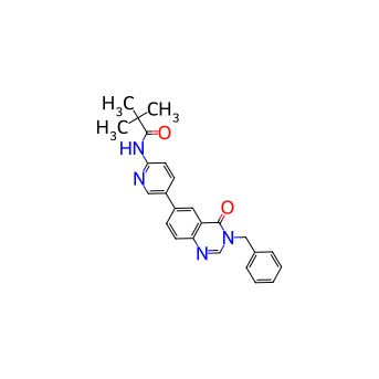 CC(C)(C)C(=O)Nc1ccc(-c2ccc3ncn(Cc4ccccc4)c(=O)c3c2)cn1